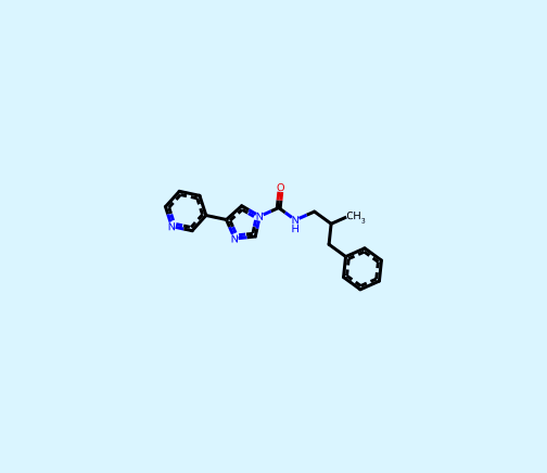 CC(CNC(=O)n1cnc(-c2cccnc2)c1)Cc1ccccc1